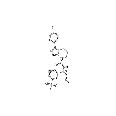 CCC[C@H](NC(=O)N1CCCc2c1cnn2-c1ccc(F)cc1)c1cncc(S(C)(=O)=O)c1